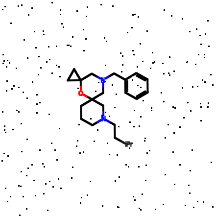 CC(C)CCN1CCCC2(C1)CN(Cc1ccccc1)CC1(CC1)O2